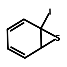 IC12C=CC=CC1S2